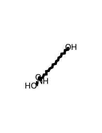 O=C(CCCCCCCCCCCCCCCCCO)NCCO